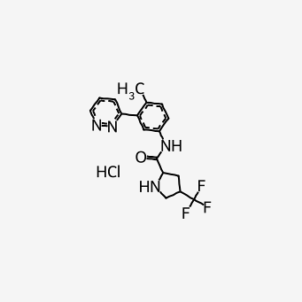 Cc1ccc(NC(=O)C2CC(C(F)(F)F)CN2)cc1-c1cccnn1.Cl